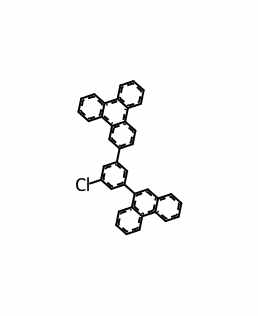 Clc1cc(-c2ccc3c4ccccc4c4ccccc4c3c2)cc(-c2cc3ccccc3c3ccccc23)c1